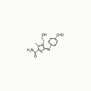 CCOc1ccc(N=c2sc(C(N)=O)c(C)n2CCO)cc1